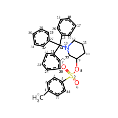 Cc1ccc(S(=O)(=O)OC2CCCN(C(c3ccccc3)(c3ccccc3)c3ccccc3)C2)cc1